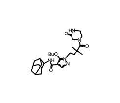 CC(C)COc1c(C(=O)NC2C3CC4CC(C3)CC2C4)cnn1CCC(C)(C)C(=O)N1CCNC(=O)C1